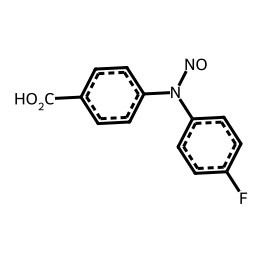 O=NN(c1ccc(F)cc1)c1ccc(C(=O)O)cc1